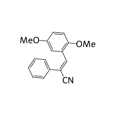 COc1ccc(OC)c(C=C(C#N)c2ccccc2)c1